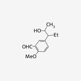 CCC(c1ccc(OC)c(C=O)c1)C(C)O